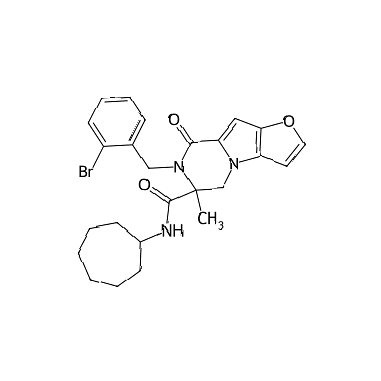 CC1(C(=O)NC2CCCCCC2)Cn2c(cc3occc32)C(=O)N1Cc1ccccc1Br